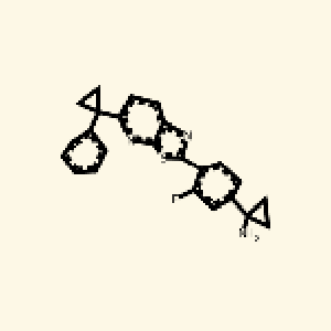 NC1(c2ccc(-c3nc4ccc(C5(c6ccccc6)CC5)nc4s3)c(F)c2)CC1